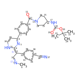 C/N=C\C(=C1\N=C(c2ccc(C(=O)N3CCC(NC(=O)OC(C)(C)C)CC3)cc2)C=CN1)c1ccc(C#N)cc1